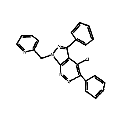 Clc1c(-c2ccccc2)nnc2c1c(-c1ccccc1)nn2Cc1ccccn1